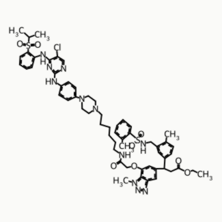 CCOC(=O)CC(c1ccc(C)c(CNS(=O)(=O)c2ccccc2C)c1)c1cc(OCC(=O)NCCCCCCN2CCN(c3ccc(Nc4ncc(Cl)c(Nc5ccccc5S(=O)(=O)C(C)C)n4)cc3)CC2)c2c(c1)nnn2C